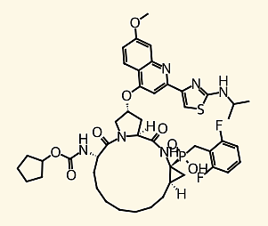 COc1ccc2c(O[C@@H]3C[C@H]4C(=O)N[C@]5(P(=O)(O)Cc6c(F)cccc6F)C[C@H]5CCCCCCC[C@H](NC(=O)OC5CCCC5)C(=O)N4C3)cc(-c3csc(NC(C)C)n3)nc2c1